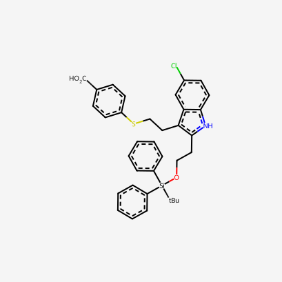 CC(C)(C)[Si](OCCc1[nH]c2ccc(Cl)cc2c1CCSc1ccc(C(=O)O)cc1)(c1ccccc1)c1ccccc1